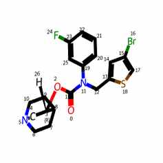 O=C(O[C@H]1CN2CCC1CC2)N(Cc1cc(Br)cs1)c1cccc(F)c1